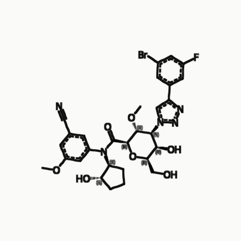 COc1cc(C#N)cc(N(C(=O)[C@@H]2O[C@H](CO)[C@H](O)[C@H](n3cc(-c4cc(F)cc(Br)c4)nn3)[C@H]2OC)[C@H]2CCC[C@@H]2O)c1